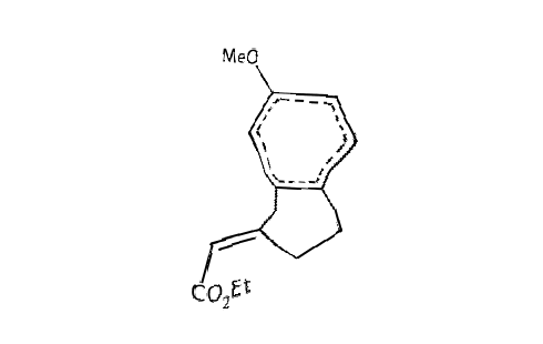 CCOC(=O)/C=C1\CCc2ccc(OC)cc21